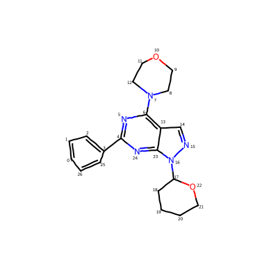 [c]1ccc(-c2nc(N3CCOCC3)c3cnn(C4CCCCO4)c3n2)cc1